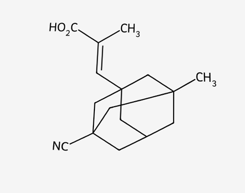 CC(=CC12CC3CC(C)(CC(C#N)(C3)C1)C2)C(=O)O